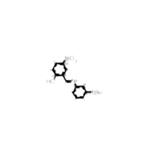 CC(C)(C)c1cccc(/N=C/c2cc([N+](=O)[O-])ccc2O)c1